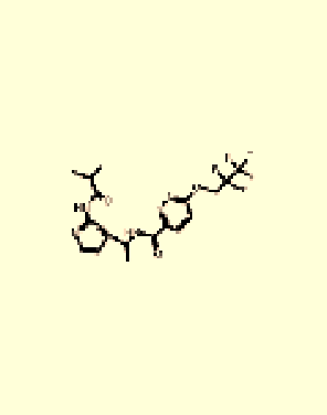 CC(C)C(=O)Nc1cc(C(C)NC(=O)c2ccc(OCC(F)(F)C(F)(F)F)nn2)ccn1